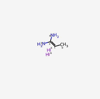 CC=C(N)N.I.I